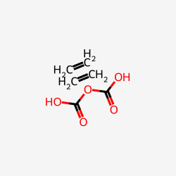 C=C.C=C.O=C(O)OC(=O)O